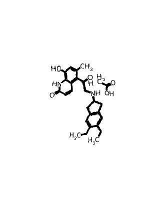 CC(=O)O.CCc1cc2c(cc1CC)CC(NCC(O)c1c(C)cc(O)c3[nH]c(=O)ccc13)C2